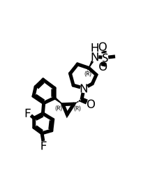 CS(=O)(=O)N[C@@H]1CCCN(C(=O)[C@@H]2C[C@H]2c2ccccc2-c2ccc(F)cc2F)CC1